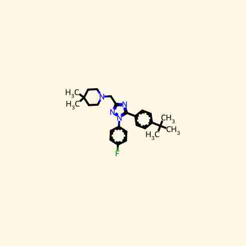 CC1(C)CCN(Cc2nc(-c3ccc(C(C)(C)C)cc3)n(-c3ccc(F)cc3)n2)CC1